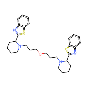 c1ccc2sc(C3CCCCN3CCCOCCCN3CCCCC3c3nc4ccccc4s3)nc2c1